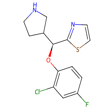 Fc1ccc(O[C@H](c2nccs2)C2CCNC2)c(Cl)c1